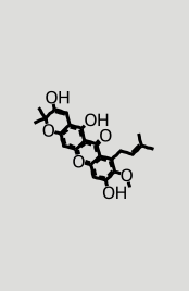 COc1c(O)cc2oc3cc4c(c(O)c3c(=O)c2c1CC=C(C)C)C=C(O)C(C)(C)O4